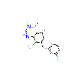 CCN(C)/C=N\c1cc(C)cc(Cc2cccc(F)c2)c1Cl